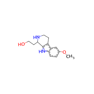 COc1ccc2[nH]c3c(c2c1)CCNC3CCO